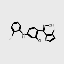 ON=C(c1ccc(Nc2ccccc2C(F)(F)F)cc1Cl)c1sccc1Cl